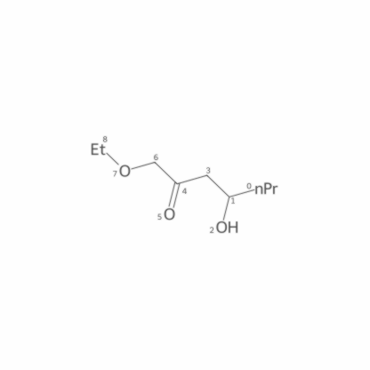 CCCC(O)CC(=O)COCC